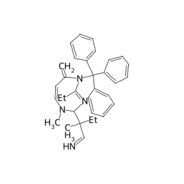 C=C1/C=C\N(C)C(C(C)(C=N)CC)/N=C(\CC)N1C(c1ccccc1)(c1ccccc1)c1ccccc1